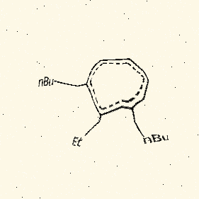 [CH2]Cc1c(CCCC)cccc1CCCC